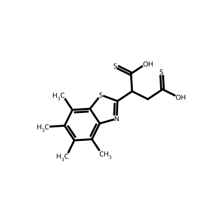 Cc1c(C)c(C)c2sc(C(CC(O)=S)C(O)=S)nc2c1C